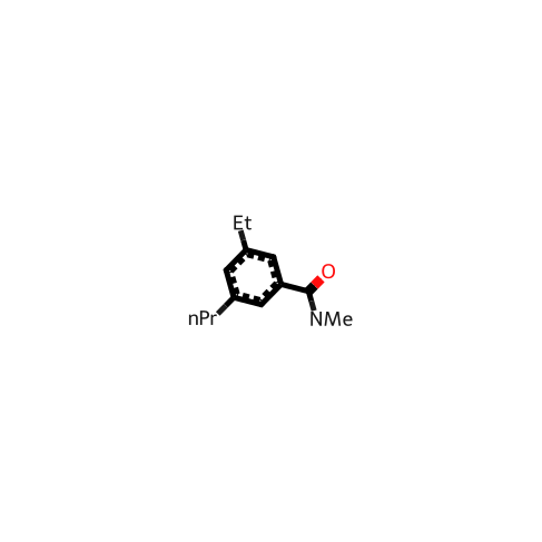 CCCc1cc(CC)cc(C(=O)NC)c1